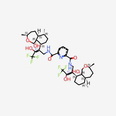 C[C@@H]1CC[C@@H](/C(CNC(=O)c2cccc(C(=O)NC/C(=C(/O)C(F)(F)F)[C@@H]3CC[C@@H](C)[C@@H]4CC[C@H](C)OC[C@]34O)n2)=C(\O)C(F)(F)F)[C@@]2(O)CO[C@@H](C)CC[C@@H]12